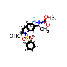 C[C@@H](NC(=O)OC(C)(C)C)c1cc2c(cc1F)cc(C=O)n2S(=O)(=O)c1ccccc1